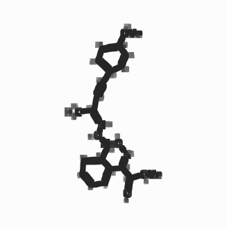 CO/N=C(/C(=O)OC)c1ccccc1CO/N=C(\C)C#Cc1ccc(OC)cc1